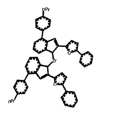 CCCc1ccc(-c2cccc3c2C=C(c2ccc(-c4ccccc4)o2)[CH]3[Zr][CH]2C(c3ccc(-c4ccccc4)o3)=Cc3c(-c4ccc(CCC)cc4)cccc32)cc1